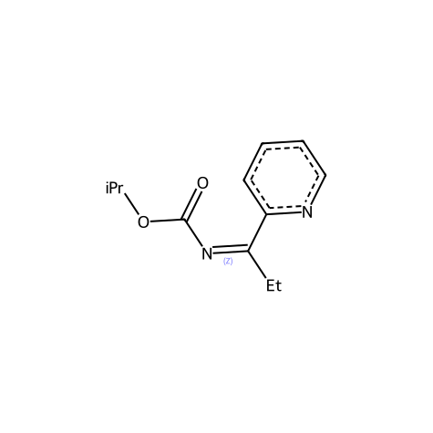 CC/C(=N/C(=O)OC(C)C)c1ccccn1